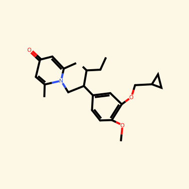 CCC(C)C(Cn1c(C)cc(=O)cc1C)c1ccc(OC)c(OCC2CC2)c1